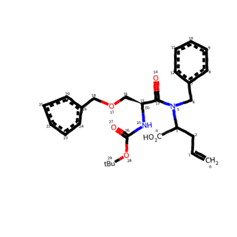 C=CCC(C(=O)O)N(Cc1ccccc1)C(=O)[C@H](COCc1ccccc1)NC(=O)OC(C)(C)C